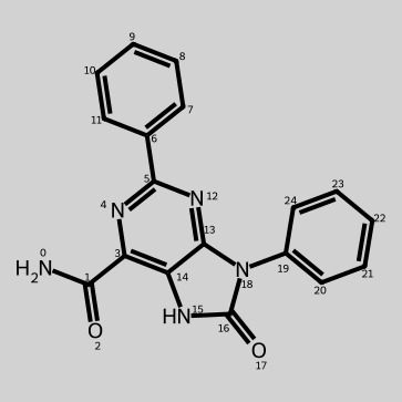 NC(=O)c1nc(-c2ccccc2)nc2c1[nH]c(=O)n2-c1ccccc1